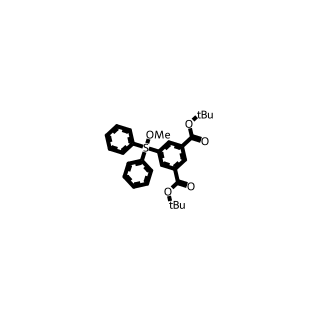 COS(c1ccccc1)(c1ccccc1)c1cc(C(=O)OC(C)(C)C)cc(C(=O)OC(C)(C)C)c1